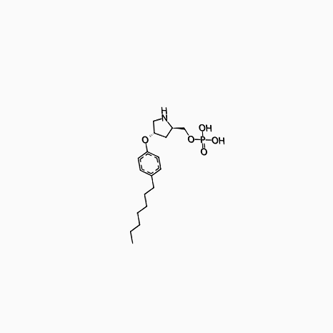 CCCCCCCc1ccc(O[C@@H]2CN[C@@H](COP(=O)(O)O)C2)cc1